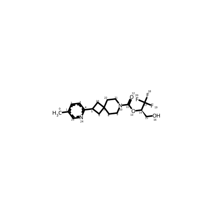 Cc1ccc(C2CC3(CCN(C(=O)O[C@H](CO)C(F)(F)F)CC3)C2)nc1